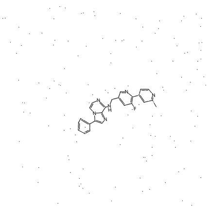 Cc1cc(-c2ncc(CNc3nccn4c(-c5ccccc5)cnc34)cc2F)ccn1